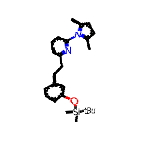 Cc1ccc(C)n1-c1cccc(CCc2cccc(O[Si](C)(C)C(C)(C)C)c2)n1